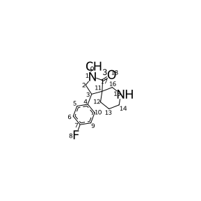 CN1CC(c2ccc(F)cc2)C2(CCCNC2)C1=O